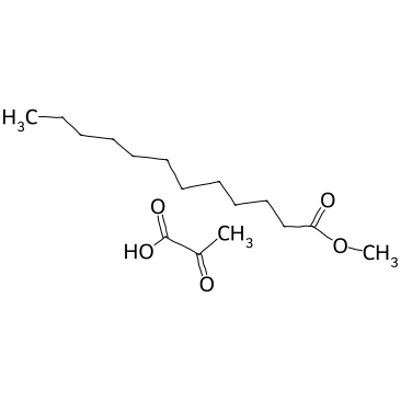 CC(=O)C(=O)O.CCCCCCCCCCCC(=O)OC